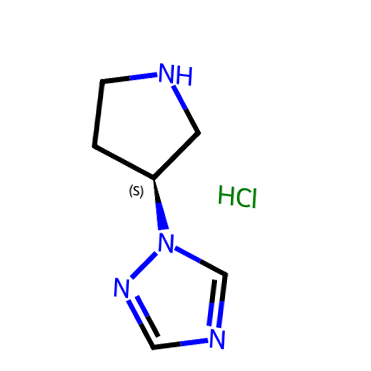 Cl.c1ncn([C@H]2CCNC2)n1